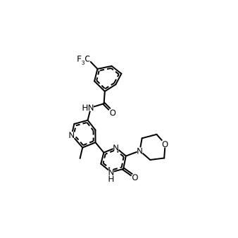 Cc1ncc(NC(=O)c2cccc(C(F)(F)F)c2)cc1-c1c[nH]c(=O)c(N2CCOCC2)n1